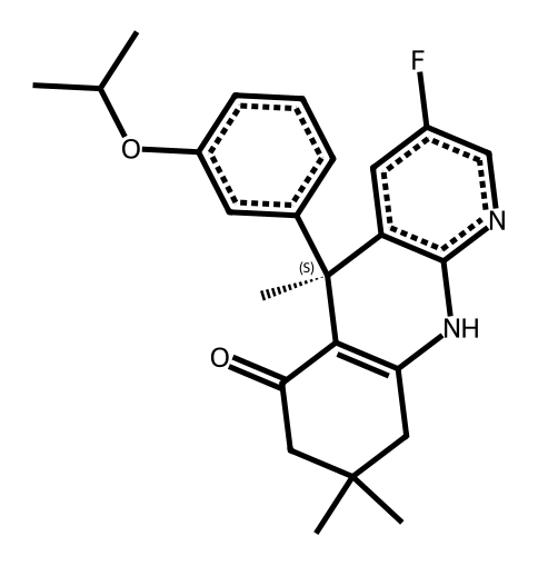 CC(C)Oc1cccc([C@]2(C)C3=C(CC(C)(C)CC3=O)Nc3ncc(F)cc32)c1